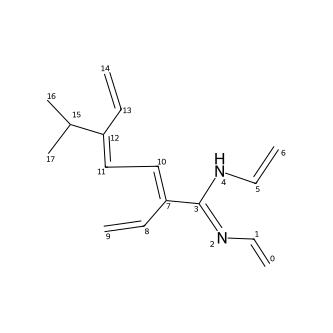 C=C/N=C(NC=C)/C(C=C)=C/C=C(\C=C)C(C)C